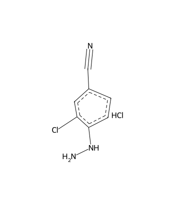 Cl.N#Cc1ccc(NN)c(Cl)c1